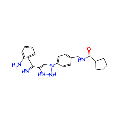 N=C(C1=CN(c2ccc(CNC(=O)C3CCCC3)cc2)NN1)c1ccccc1N